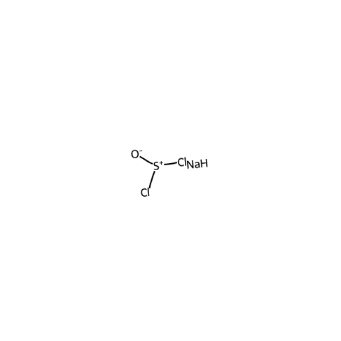 [NaH].[O-][S+](Cl)Cl